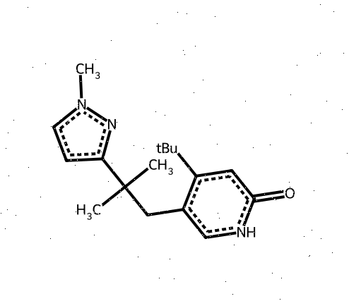 Cn1ccc(C(C)(C)Cc2c[nH]c(=O)cc2C(C)(C)C)n1